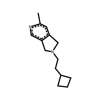 Cc1cc2c(cn1)CN(CCC1CCC1)C2